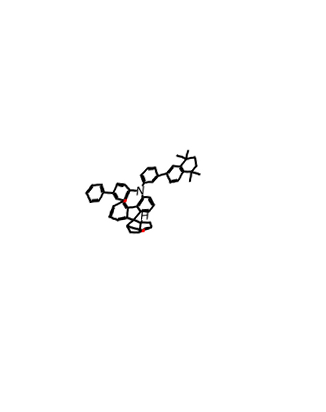 CC1(C)CCC(C)(C)c2cc(-c3cccc(N(c4ccc(-c5ccccc5)cc4)c4cccc5c4-c4ccccc4C54C5CC6CC(C5)[C@H]4C6)c3)ccc21